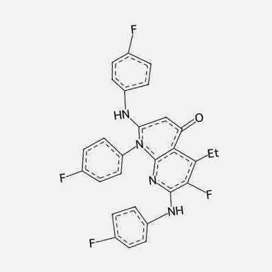 CCc1c(F)c(Nc2ccc(F)cc2)nc2c1c(=O)cc(Nc1ccc(F)cc1)n2-c1ccc(F)cc1